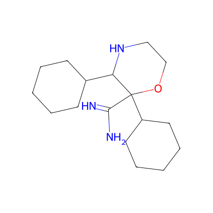 N=C(N)C1(C2CCCCC2)OCCNC1C1CCCCC1